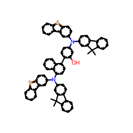 CC1(C)c2ccccc2-c2ccc(N(c3ccc(-c4ccc(N(c5ccc6c(c5)C(C)(C)c5ccccc5-6)c5ccc6sc7ccccc7c6c5)c5ccccc45)c(O)c3)c3ccc4sc5ccccc5c4c3)cc21